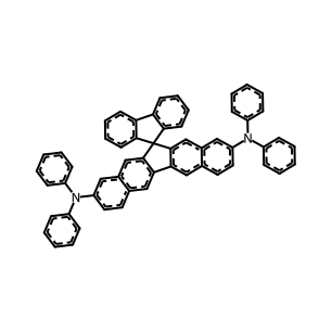 c1ccc(N(c2ccccc2)c2ccc3cc4c(cc3c2)C2(c3ccccc3-c3ccccc32)c2cc3cc(N(c5ccccc5)c5ccccc5)ccc3cc2-4)cc1